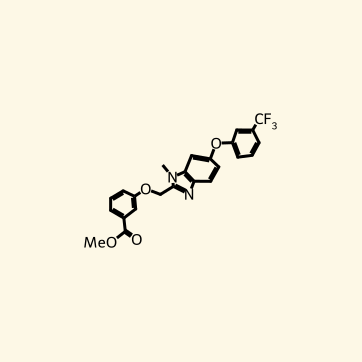 COC(=O)c1cccc(OCc2nc3ccc(Oc4cccc(C(F)(F)F)c4)cc3n2C)c1